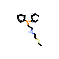 C/C=C\C(=C/C)P(CCNCCSCC)c1ccccc1